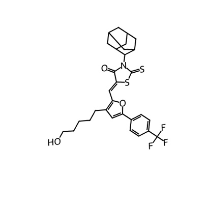 O=C1/C(=C/c2oc(-c3ccc(C(F)(F)F)cc3)cc2CCCCCO)SC(=S)N1C1C2CC3CC(C2)CC1C3